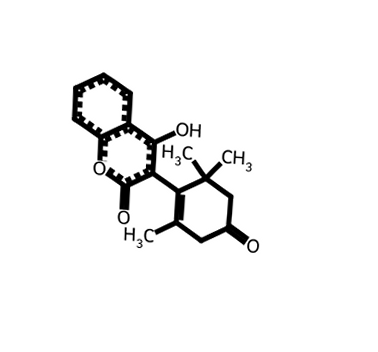 CC1=C(c2c(O)c3ccccc3oc2=O)C(C)(C)CC(=O)C1